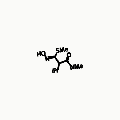 CNC(=O)C(/C(=N/O)SC)C(C)C